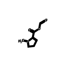 CN1CCCC1C(=O)OC=O